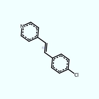 Clc1ccc(/C=C/c2ccncc2)cc1